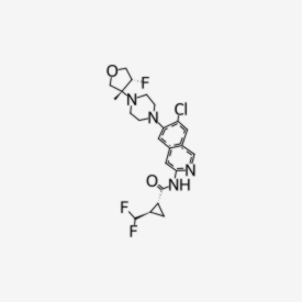 C[C@@]1(N2CCN(c3cc4cc(NC(=O)[C@@H]5C[C@H]5C(F)F)ncc4cc3Cl)CC2)COC[C@@H]1F